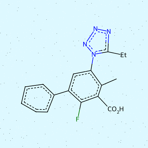 CCc1nnnn1-c1cc(-c2ccccc2)c(F)c(C(=O)O)c1C